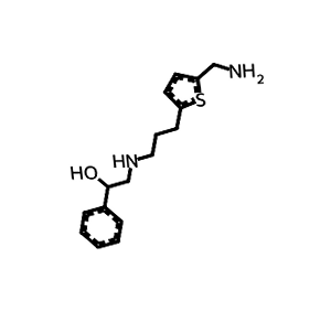 NCc1ccc(CCCNCC(O)c2ccccc2)s1